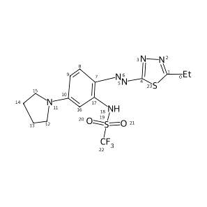 CCc1nnc(N=Nc2ccc(N3CCCC3)cc2NS(=O)(=O)C(F)(F)F)s1